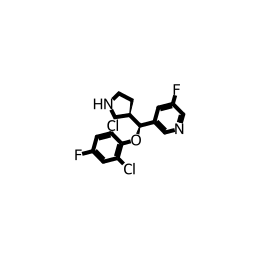 Fc1cncc([C@@H](Oc2c(Cl)cc(F)cc2Cl)[C@@H]2CCNC2)c1